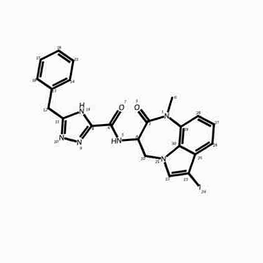 CN1C(=O)C(NC(=O)c2nnc(Cc3ccccc3)[nH]2)Cn2cc(I)c3cccc1c32